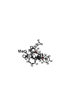 COC(=O)c1cc(C)c2nc(N3C4CC(NCc5c(-c6c(Cl)cccc6Cl)noc5C5CC5)CC3C4)sc2c1